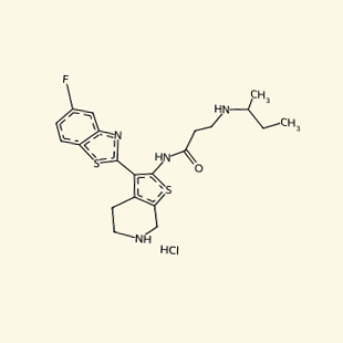 CCC(C)NCCC(=O)Nc1sc2c(c1-c1nc3cc(F)ccc3s1)CCNC2.Cl